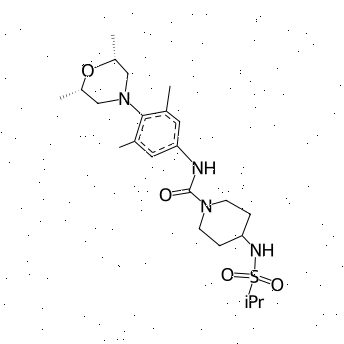 Cc1cc(NC(=O)N2CCC(NS(=O)(=O)C(C)C)CC2)cc(C)c1N1C[C@@H](C)O[C@@H](C)C1